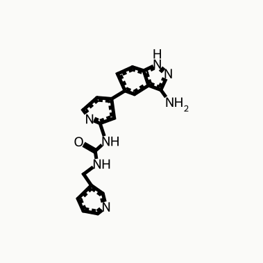 Nc1n[nH]c2ccc(-c3ccnc(NC(=O)NCc4cccnc4)c3)cc12